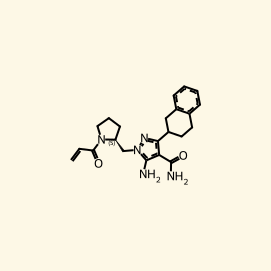 C=CC(=O)N1CCC[C@H]1Cn1nc(C2CCc3ccccc3C2)c(C(N)=O)c1N